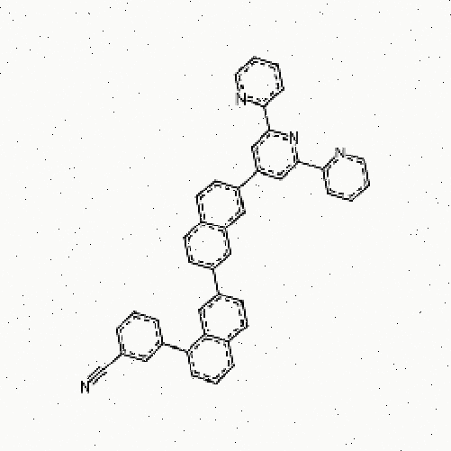 N#Cc1cccc(-c2cccc3ccc(-c4ccc5ccc(-c6cc(-c7ccccn7)nc(-c7ccccn7)c6)cc5c4)cc23)c1